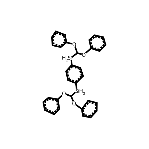 c1ccc(OC(Oc2ccccc2)[SiH2]c2ccc([SiH2]C(Oc3ccccc3)Oc3ccccc3)cc2)cc1